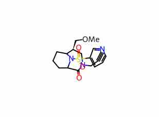 C#CCN1C[C@H](COC)C2CCCC(C1=O)N2S(=O)(=O)c1cccnc1